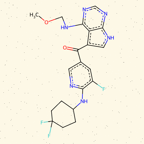 COCNc1ncnc2[nH]cc(C(=O)c3cnc(NC4CCC(F)(F)CC4)c(F)c3)c12